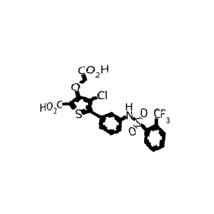 O=C(O)COc1c(C(=O)O)sc(-c2cccc(NS(=O)(=O)c3ccccc3C(F)(F)F)c2)c1Cl